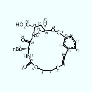 CCCC[C@@H]1NC(=O)OCCC/C=C/c2cccc(c2)CO[C@@H]2C[C@@H](C(=O)O)N(C2)C1=O